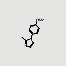 COc1ccc(-n2ccnc2C)cc1